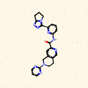 O=C(Nc1cccc(-c2nnc3n2CCC3)n1)c1cc2c(cn1)CCN(c1ncccn1)C2